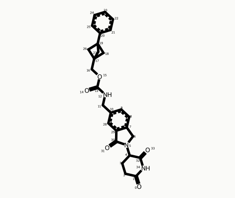 O=C1CCC(N2Cc3ccc(CNC(=O)OCC45CC(c6ccccc6)(C4)C5)cc3C2=O)C(=O)N1